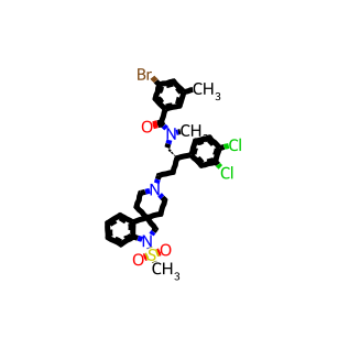 Cc1cc(Br)cc(C(=O)N(C)C[C@@H](CCN2CCC3(CC2)CN(S(C)(=O)=O)c2ccccc23)c2ccc(Cl)c(Cl)c2)c1